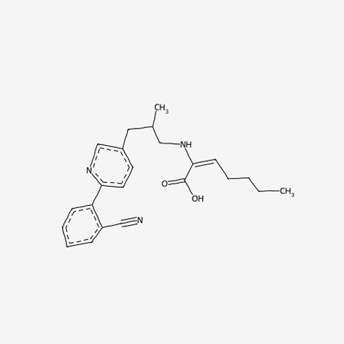 CCCCC=C(NCC(C)Cc1ccc(-c2ccccc2C#N)nc1)C(=O)O